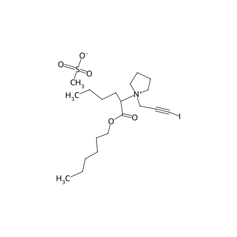 CCCCCCOC(=O)C(CCCC)[N+]1(CC#CI)CCCC1.CS(=O)(=O)[O-]